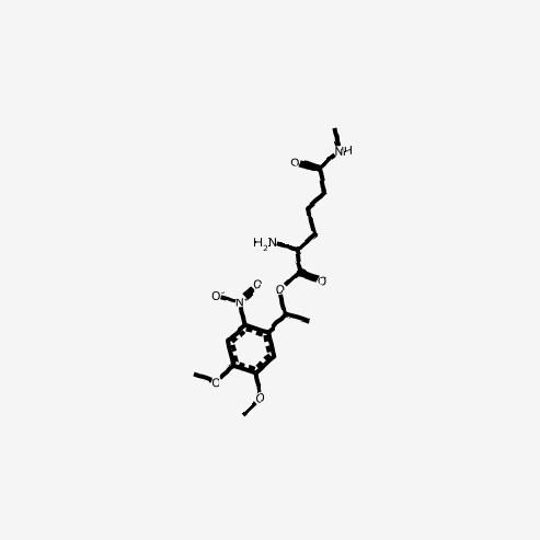 CNC(=O)CCCC(N)C(=O)OC(C)c1cc(OC)c(OC)cc1[N+](=O)[O-]